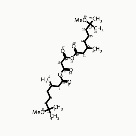 COC(C)(C)CCCC(C)CC(=O)OC(=O)CC(=O)OC(=O)CC(C)CCCC(C)(C)OC